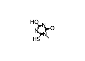 Cn1c(S)nc(O)nc1=O